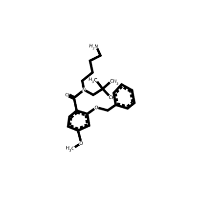 COc1ccc(C(=O)N(CCCCN)CC(C)(C)C)c(OCc2ccccc2)c1